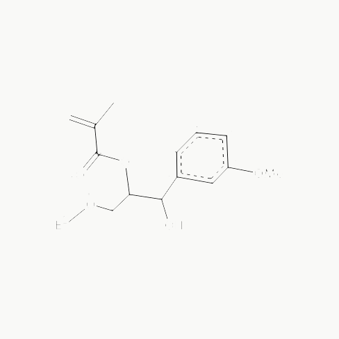 C=C(C)C(=O)OC(COCC)C(O)c1cccc(OC)c1